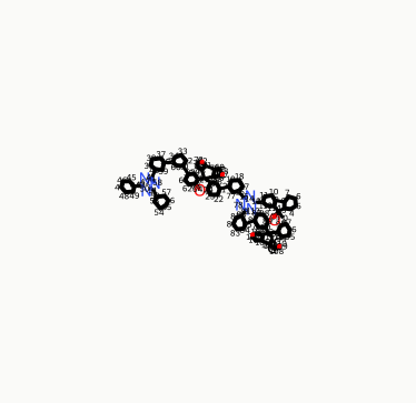 CC1(C)c2ccccc2-c2ccc(-c3nc(-c4cccc(-c5ccc6c(c5)C5(c7cc(-c8cccc(-c9cccc(-c%10nc(-c%11ccccc%11)nc(-c%11ccccc%11)n%10)c9)c8)ccc7O6)c6ccccc6-c6ccccc65)c4)nc(-c4ccccc4-c4ccc5c(c4)C4(c6ccccc6O5)c5ccccc5-c5ccccc54)n3)cc21